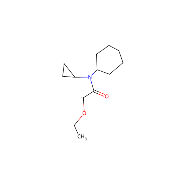 CCO[CH]C(=O)N(C1CCCCC1)C1CC1